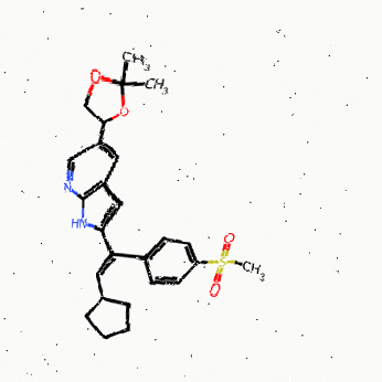 CC1(C)OCC(c2cnc3[nH]c(C(=CC4CCCC4)c4ccc(S(C)(=O)=O)cc4)cc3c2)O1